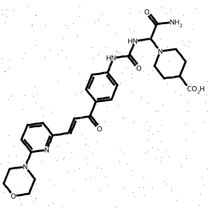 NC(=O)C(NC(=O)Nc1ccc(C(=O)C=Cc2cccc(N3CCOCC3)n2)cc1)N1CCC(C(=O)O)CC1